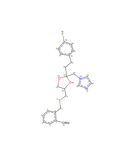 COc1ccccc1CSCC1COC(CCc2ccc(F)cc2)(Cn2ccnc2)O1